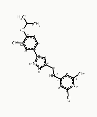 CC(C)Oc1ccc(-n2cc(CNc3cc(Cl)nc(Cl)c3)nn2)cc1Cl